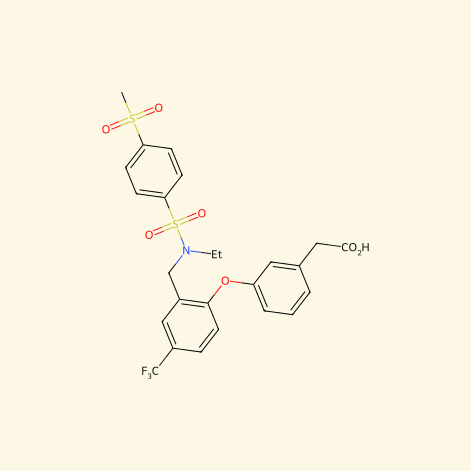 CCN(Cc1cc(C(F)(F)F)ccc1Oc1cccc(CC(=O)O)c1)S(=O)(=O)c1ccc(S(C)(=O)=O)cc1